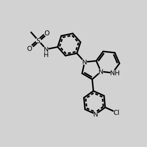 CS(=O)(=O)Nc1cccc(N2C=C(c3ccnc(Cl)c3)N3NC=CC=C32)c1